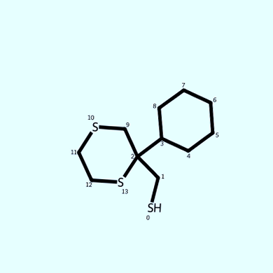 SCC1(C2CCCCC2)CSCCS1